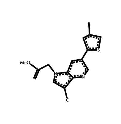 C=C(Cn1cc(Cl)c2ncc(-c3cc(C)cs3)cc21)OC